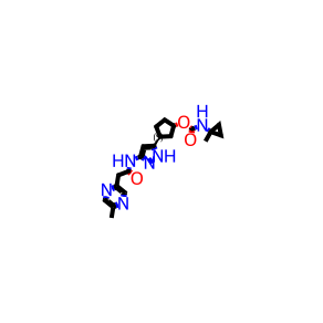 Cc1cnc(CC(=O)Nc2cc([C@H]3CCC(OC(=O)NC4(C)CC4)C3)[nH]n2)cn1